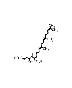 CC(C)=CCC/C(C)=C/CC/C(C)=C/CSC[C@H](NC(O)CCC(=O)O)C(=O)O